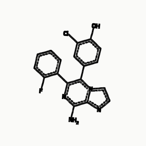 Nc1nc(-c2ccccc2F)c(-c2ccc(O)c(Cl)c2)n2ccnc12